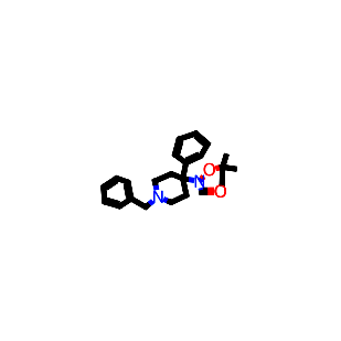 CC(C)(C)ON(C=O)C1(c2ccccc2)CCN(Cc2ccccc2)CC1